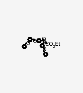 CCOC(=O)CN(C(=O)c1ccc(OCc2cccc(OCc3ccccc3)c2)cc1)c1cccc(OCc2ccccc2)c1